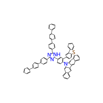 c1ccc(-c2ccc(-c3ccc(C4=NC(c5ccc(-n6c7cc8ccccc8cc7c7cc8ccccc8cc76)c(-c6ccc7sc8ccccc8c7c6)c5)NC(c5ccc(-c6ccc(-c7ccccc7)cc6)cc5)=N4)cc3)cc2)cc1